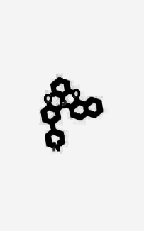 c1cc2c3c(c1)Oc1c(ccc4ccccc14)B3c1cc(-c3ccncc3)ccc1O2